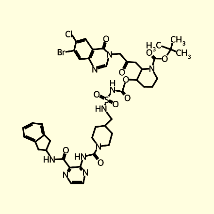 CC(C)(C)OC(=O)N1CCCC(OC(=O)NS(=O)(=O)NCC2CCN(C(=O)Nc3nccnc3C(=O)NC3Cc4ccccc4C3)CC2)C1CC(=O)Cn1cnc2cc(Br)c(Cl)cc2c1=O